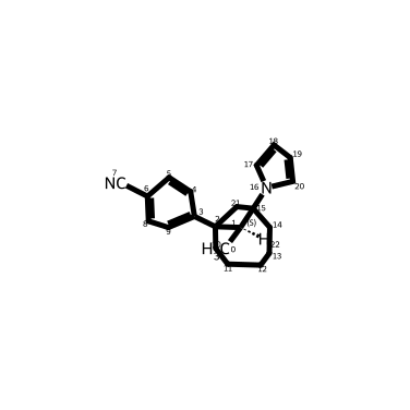 C[C@H]1C2(c3ccc(C#N)cc3)CCCCCC1(n1cccc1)C2